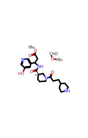 CC(C)(C)OC(=O)CC(NC(=O)[C@@H]1CCCN(C(=O)CCC2CCNCC2)C1)c1cncc(O)c1.CC(C)(C)OC=O